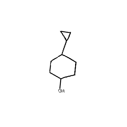 OC1CCC(C2CC2)CC1